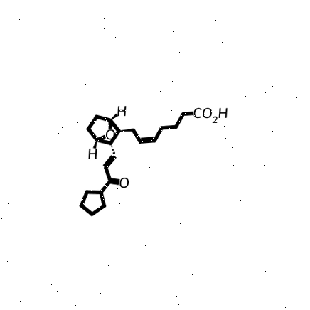 O=C(O)CCC/C=C\C[C@H]1[C@H](/C=C/C(=O)C2CCCC2)[C@@H]2CC[C@H]1O2